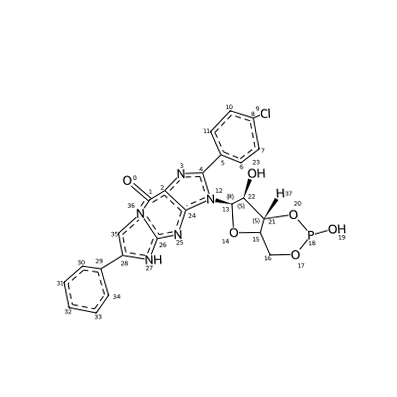 O=c1c2nc(-c3ccc(Cl)cc3)n([C@@H]3OC4COP(O)O[C@H]4[C@@H]3O)c2nc2[nH]c(-c3ccccc3)cn12